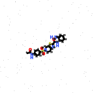 CC(=O)Nc1ccc(S(=O)(=O)N2CCc3nc(C(=O)Nc4ccccc4N)sc3C2)cc1